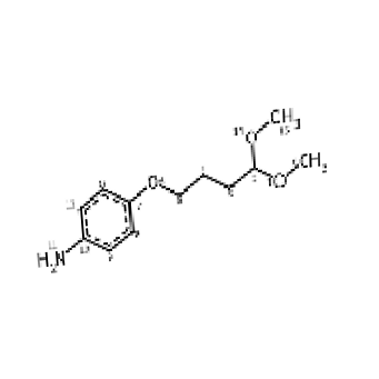 COC(CCCOc1ccc(N)cc1)OC